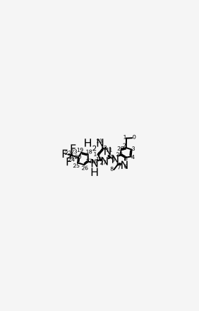 CCc1ccc2nc(C)n(-c3nc(N)cc(Nc4ccc(C(F)(F)F)cc4)n3)c2c1